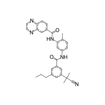 CCCc1cc(C(=O)Nc2ccc(C)c(NC(=O)c3ccc4nccnc4c3)c2)cc(C(C)(C)C#N)c1